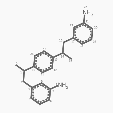 CC(Cc1cccc(N)c1)c1ccc(C(C)Cc2cccc(N)c2)cc1